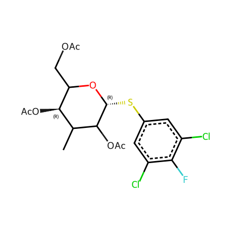 CC(=O)OCC1O[C@H](Sc2cc(Cl)c(F)c(Cl)c2)C(OC(C)=O)C(C)[C@H]1OC(C)=O